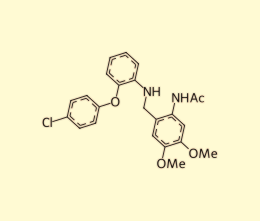 COc1cc(CNc2ccccc2Oc2ccc(Cl)cc2)c(NC(C)=O)cc1OC